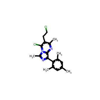 Cc1cc(C)c(-c2nc(C)n3c(Cl)c(CCCl)c(C)nc23)c(C)c1